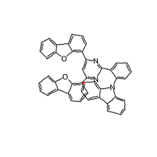 c1ccc(-n2c3ccccc3c3ccccc32)c(-c2nc(-c3cccc4c3oc3ccccc34)cc(-c3cccc4c3oc3ccccc34)n2)c1